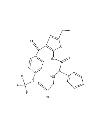 CCc1cc(C(=O)c2ccc(OC(F)(F)F)cc2)c(NC(=O)C(NCC(=O)O)c2ccccc2)s1